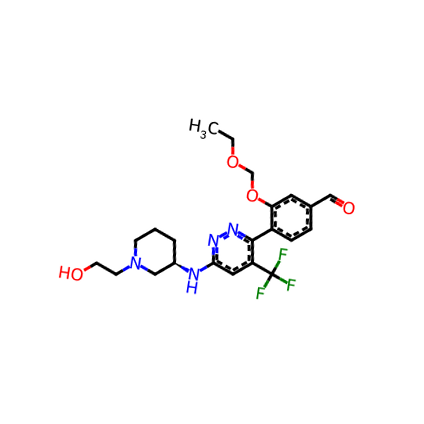 CCOCOc1cc(C=O)ccc1-c1nnc(N[C@@H]2CCCN(CCO)C2)cc1C(F)(F)F